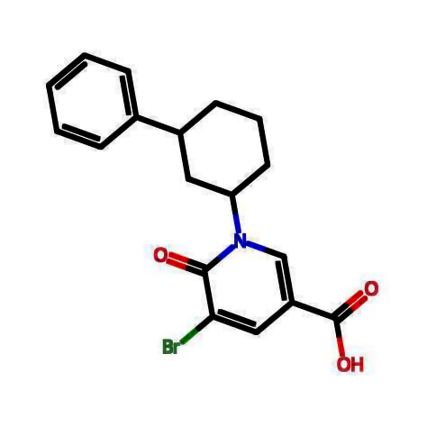 O=C(O)c1cc(Br)c(=O)n(C2CCCC(c3ccccc3)C2)c1